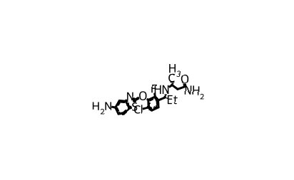 CC[C@@H](NC(C)CC(N)=O)c1ccc(Cl)c(Oc2nc3cc(N)ccc3s2)c1F